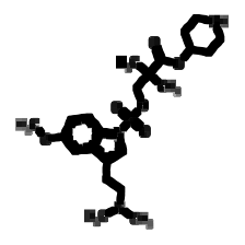 COc1ccc2c(c1)c(CCN(C)C)cn2S(=O)(=O)OCC(C)(C)C(=O)OC1CCNCC1